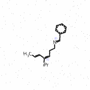 CC=C/C(=C\CC/N=C/c1ccccc1)C(C)C